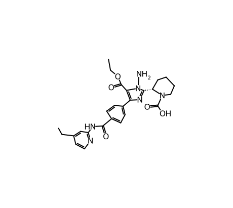 CCOC(=O)c1c(-c2ccc(C(=O)Nc3cc(CC)ccn3)cc2)nc([C@@H]2CCCCN2C(=O)O)n1N